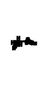 CC(=O)N1CCN(S(=O)(=O)CCCCCCNC(=N)Nc2ccncc2)CC1